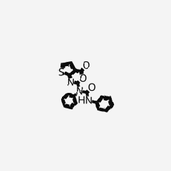 O=C(Nc1ccccc1)N(c1ccccc1)c1nc2sccc2c(=O)o1